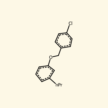 C[CH]Cc1cccc(OCc2ccc(Cl)cc2)c1